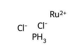 P.[Cl-].[Cl-].[Ru+2]